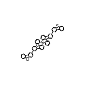 c1ccc([Si](c2ccccc2)(c2cccc3c2oc2ccc(-c4ccc5oc6ccccc6c5c4)cc23)c2cccc3c2sc2ccc(-c4ccc5sc6ccccc6c5c4)cc23)cc1